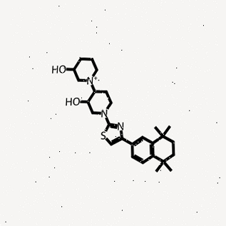 CC1(C)CCC(C)(C)c2cc(-c3csc(N4CCC([N+]5CCCC(O)C5)C(O)C4)n3)ccc21